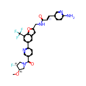 CO[C@@H]1CN(C(=O)c2ccc(-c3cc(C(F)(F)F)c4oc(CNC(=O)/C=C/c5ccc(N)nc5)cc4c3)nc2)C[C@H]1F